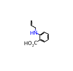 C=CCNc1ccccc1C(=O)O